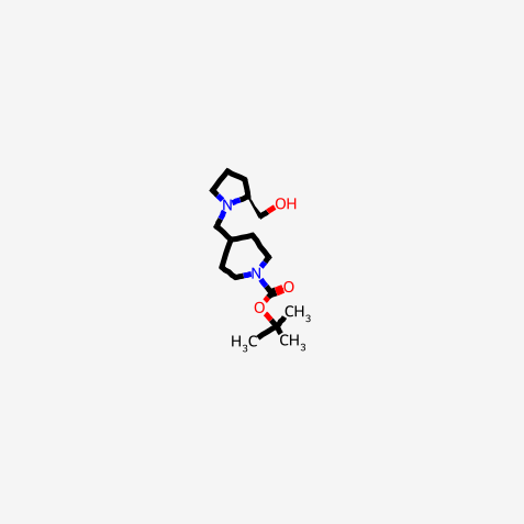 CC(C)(C)OC(=O)N1CCC(CN2CCC[C@H]2CO)CC1